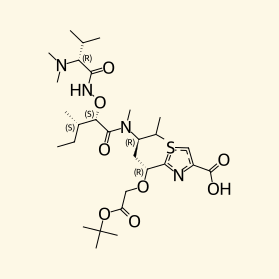 CC[C@H](C)[C@H](ONC(=O)[C@@H](C(C)C)N(C)C)C(=O)N(C)[C@H](C[C@@H](OCC(=O)OC(C)(C)C)c1nc(C(=O)O)cs1)C(C)C